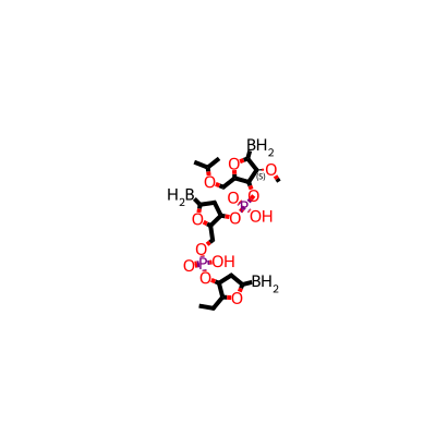 BC1CC(OP(=O)(O)OCC2OC(B)CC2OP(=O)(O)OC2C(COC(C)C)OC(B)[C@@H]2OC)C(CC)O1